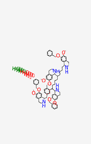 COc1cc2c(cc1OCc1ccccc1)C(CCCCC(CCCCC(CCCCC1NCCc3cc(OC)c(OCc4ccccc4)cc31)C1NCCc3cc(OC)c(OCc4ccccc4)cc31)C1NCCc3cc(OC)c(OCc4ccccc4)cc31)NCC2.Cl.Cl.Cl.Cl.O.O.O.O